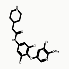 COc1ncc(Oc2c(Cl)cc(NC(=O)CC3CCNCC3)cc2Cl)cc1C(C)C